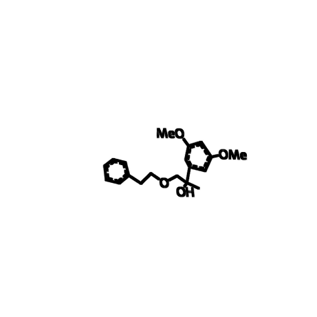 COc1cc(OC)cc(C(C)(O)COCCc2ccccc2)c1